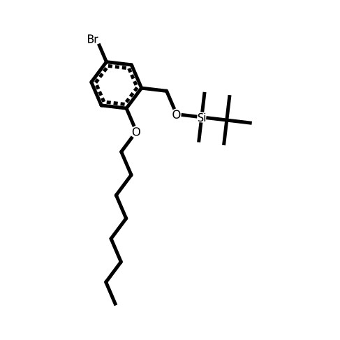 CCCCCCCCOc1ccc(Br)cc1CO[Si](C)(C)C(C)(C)C